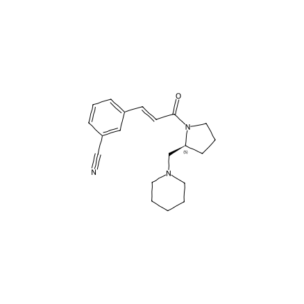 N#Cc1cccc(C=CC(=O)N2CCC[C@H]2CN2CCCCC2)c1